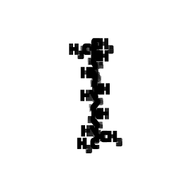 CC(C)NCCNCCNNCCNCCNC(C)C